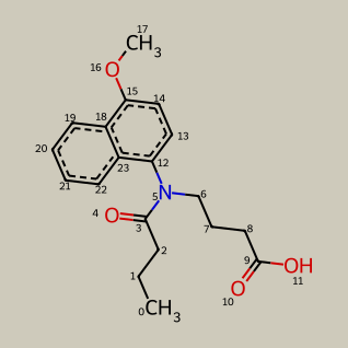 CCCC(=O)N(CCCC(=O)O)c1ccc(OC)c2ccccc12